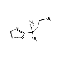 CCCC(C)(C)C1=NCCO1